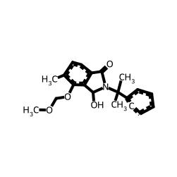 COCOc1c(C)ccc2c1C(O)N(C(C)(C)c1ccccc1)C2=O